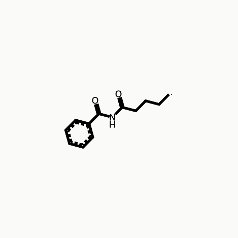 [CH2]CCCC(=O)NC(=O)c1ccccc1